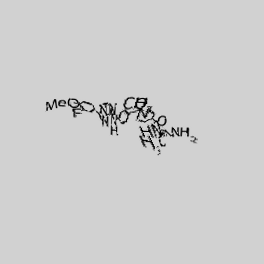 COc1ccc(-c2cnc3c(Nc4ccc(C(=O)N5CCC(C(=O)N[C@H](C)CCN)CC5)c(C)c4)nccn23)cc1F